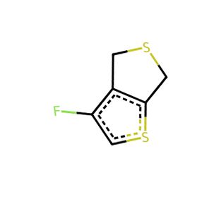 Fc1csc2c1CSC2